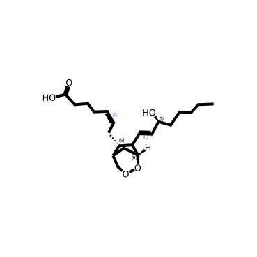 CCCCC[C@H](O)/C=C/C1[C@@H](C/C=C\CCCC(=O)O)C2COO[C@@H]1C2